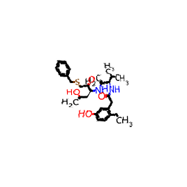 C=C(O)C[C@H](NC(=C)[C@@H](NC(=O)Cc1cc(O)ccc1CC)C(C)C)C(=O)CSCc1ccccc1